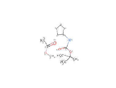 CC(C)(C)OC(=O)NC1CCCC1.COC(C)=O